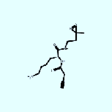 C#CCC(=O)N[C@@H](CCCCN)C(=O)NCCC1(C)N=N1